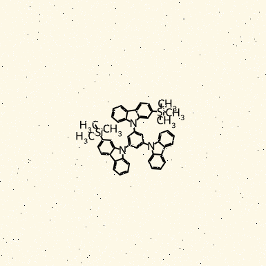 C[Si](C)(C)c1ccc2c3ccccc3n(-c3cc(-n4c5ccccc5c5ccccc54)cc(-n4c5ccccc5c5ccc([Si](C)(C)C)cc54)c3)c2c1